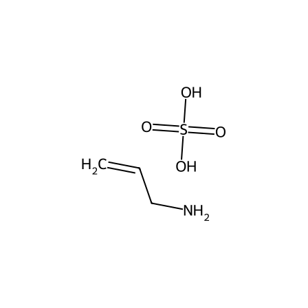 C=CCN.O=S(=O)(O)O